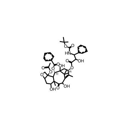 CC(=O)OC12COC1CC(O)C1(C)C(=O)C(O)C3=C(C)[C@H](OC(=O)C(O)C(NC(=O)OC(C)(C)C)c4ccccc4)CC(O)([C@@H](OC(=O)c4ccccc4)C21)C3(C)C